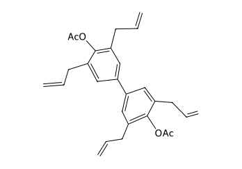 C=CCc1cc(-c2cc(CC=C)c(OC(C)=O)c(CC=C)c2)cc(CC=C)c1OC(C)=O